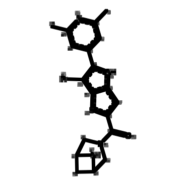 Cc1cc(-c2[nH]c3cc(C(=O)N4CC5CC(C4)N5)sc3c2C(C)C)cc(C)n1